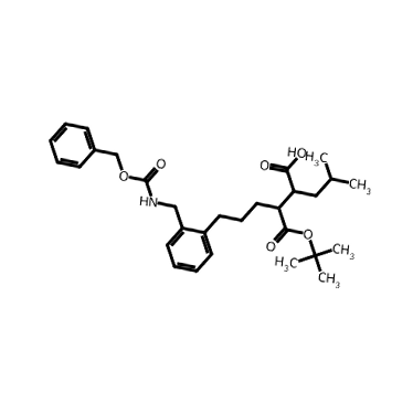 CC(C)CC(C(=O)O)C(CCCc1ccccc1CNC(=O)OCc1ccccc1)C(=O)OC(C)(C)C